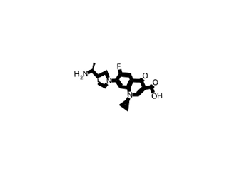 C[C@H](N)[C@H]1CCN(c2cc3c(cc2F)c(=O)c(C(=O)O)cn3C2CC2)C1